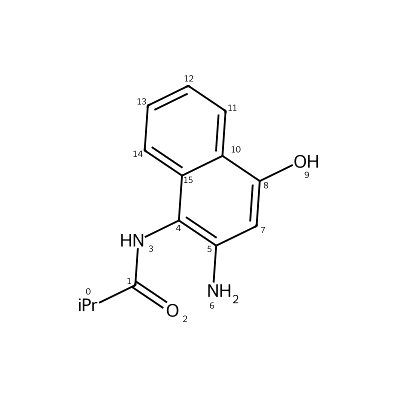 CC(C)C(=O)Nc1c(N)cc(O)c2ccccc12